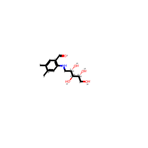 Cc1cc(C=O)c(NC[C@H](O)[C@H](O)[C@H](O)CO)cc1C